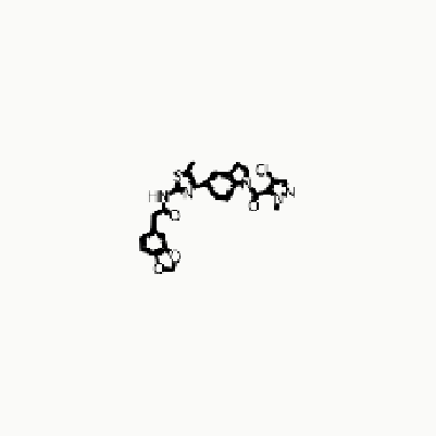 Cc1sc(NC(=O)Cc2ccc3c(c2)OCO3)nc1-c1ccc2c(c1)CCN2C(=O)c1c(Cl)cnn1C